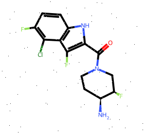 N[C@H]1CCN(C(=O)c2[nH]c3ccc(F)c(Cl)c3c2F)C[C@H]1F